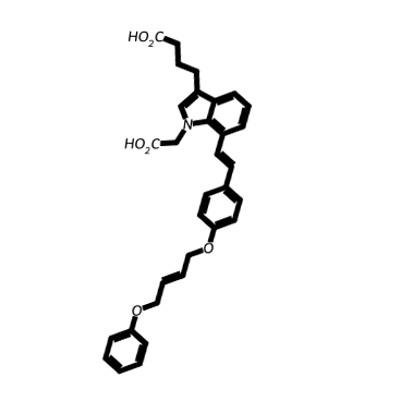 O=C(O)CCCc1cn(CC(=O)O)c2c(C=Cc3ccc(OCC=CCOc4ccccc4)cc3)cccc12